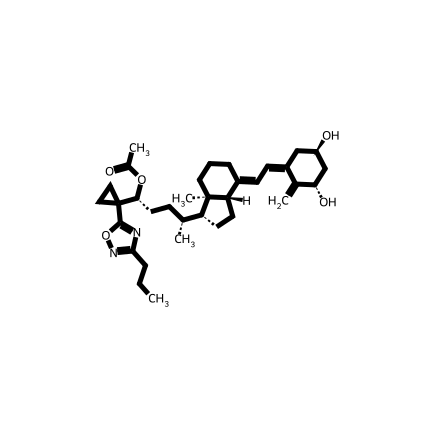 C=C1/C(=C\C=C2/CCC[C@]3(C)[C@@H]([C@H](C)CC[C@@H](OC(C)=O)C4(c5nc(CCC)no5)CC4)CC[C@@H]23)C[C@@H](O)C[C@@H]1O